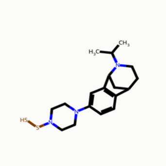 CC(C)N1CCC2CC1c1cc(N3CCN(SS)CC3)ccc12